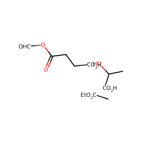 CC(O)C(=O)O.CCOC(C)=O.O=COC(=O)CCC(=O)O